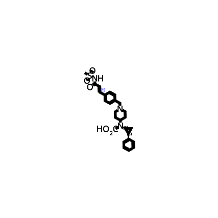 CS(=O)(=O)NC(=O)/C=C/c1ccc(CN2CCC(N(C(=O)O)[C@@H]3C[C@H]3c3ccccc3)CC2)cc1